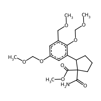 COCOc1cc(COC)c(OCOC)c(C2CCCC2(C(N)=O)C(=O)OC)c1